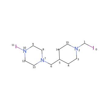 ICN1CCC(CN2CCN(I)CC2)CC1